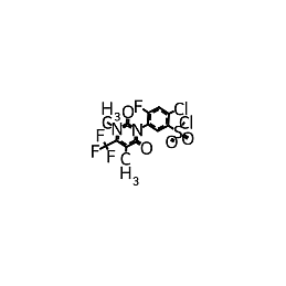 Cc1c(C(F)(F)F)n(C)c(=O)n(-c2cc(S(=O)(=O)Cl)c(Cl)cc2F)c1=O